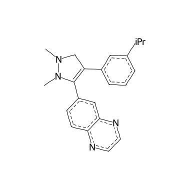 CC(C)c1cccc(C2=C(c3ccc4nccnc4c3)N(C)N(C)C2)c1